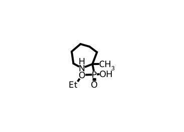 CCOP(=O)(O)C1(C)CCCCCN1